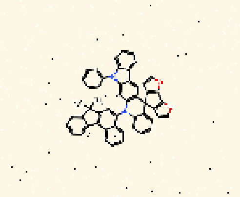 CC1(C)c2ccccc2-c2c1cc(N1c3ccccc3C3(c4cc5c6ccccc6n(-c6ccccc6)c5cc41)c1ccoc1-c1occc13)c1ccccc21